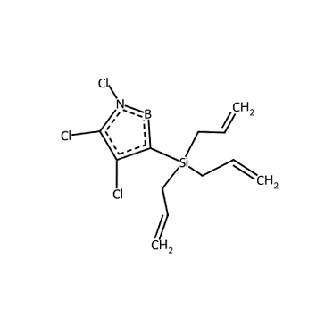 C=CC[Si](CC=C)(CC=C)c1bn(Cl)c(Cl)c1Cl